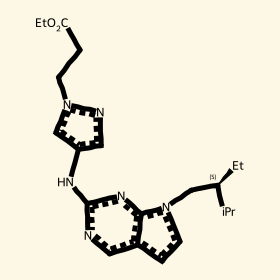 CCOC(=O)CCn1cc(Nc2ncc3ccn(C[C@@H](CC)C(C)C)c3n2)cn1